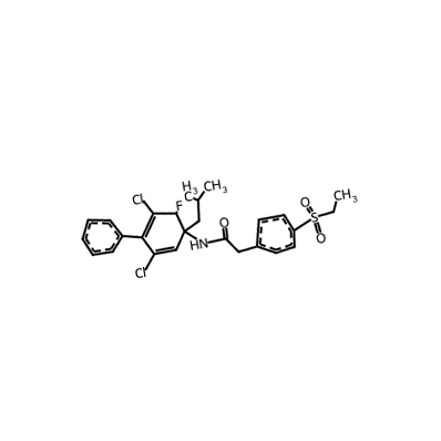 CCS(=O)(=O)c1ccc(CC(=O)NC2(CC(C)C)C=C(Cl)C(c3ccccc3)=C(Cl)C2F)cc1